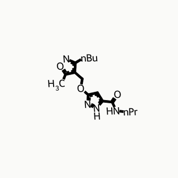 CCCCc1noc(C)c1COc1cc(C(=O)NCCC)[nH]n1